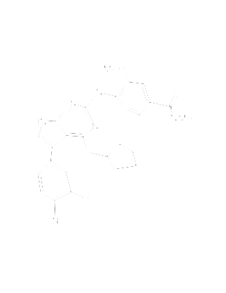 CNC(=O)c1ccc(Nc2nc(OC3CCCC3)c3c(-c4ccc(N)c(O)c4)c[nH]c3n2)c(OC)c1